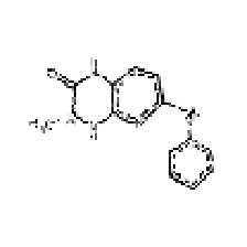 C[C@H]1Nc2nc(Nc3ccccc3)ccc2NC1=O